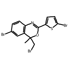 CC1(CBr)OC(c2ccc(Br)s2)=Nc2ccc(Br)cc21